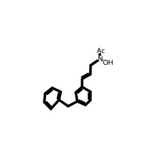 CC(=O)N(O)C/C=C/c1cccc(Cc2ccccc2)c1